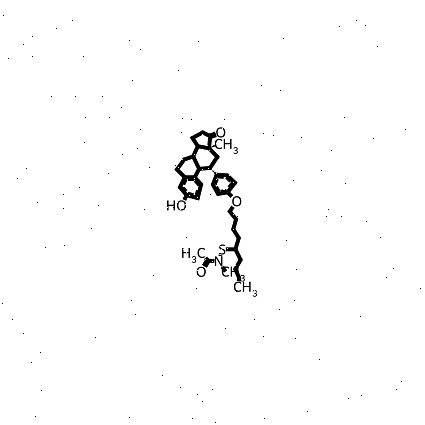 CCCCC(CCCCOc1ccc([C@H]2C[C@]3(C)C(=O)CCC3C3CCc4cc(O)ccc4C32)cc1)SN(C)C(C)=O